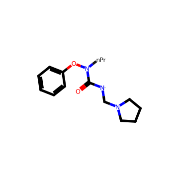 CCCN(Oc1ccccc1)C(=O)[N]CN1CCCC1